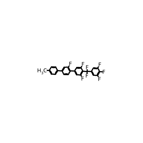 Cc1ccc(-c2ccc(-c3cc(F)c(C(F)(F)c4cc(F)c(F)c(F)c4)c(F)c3)c(F)c2)cc1